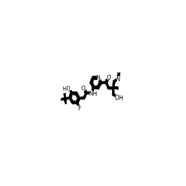 C=NCC(C)(CO)CC(=O)c1cc(NC(=O)Cc2cc(O)c(C(C)(C)C)cc2F)ccn1